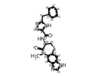 CN1C(=O)[C@@H](NC(=O)c2nnc(Cc3ccccc3)[nH]2)CSc2cc3[nH]cnc3cc21